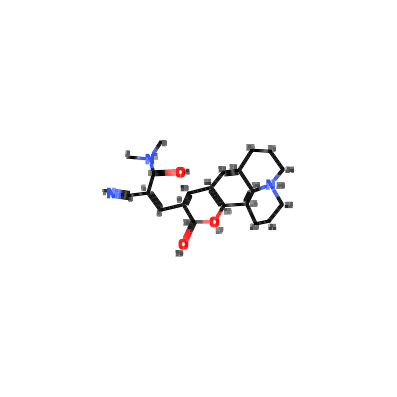 CN(C)C(=O)C(C#N)=Cc1cc2cc3c4c(c2oc1=O)CCCN4CCC3